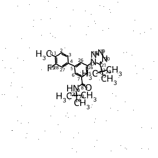 Cc1ccc(-c2cc(C(=O)NC(C)(C)C)cc(-n3nnnc3C(C)(C)C)c2)cc1F